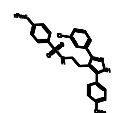 CCCCCc1ccc(S(=O)(=O)NCCc2c(-c3cccc(Cl)c3)n[nH]c2-c2ccc(OC)cc2)cc1